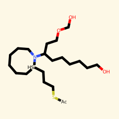 CC(=O)SCCC[SiH]1CCCCCCN1C(CCCCCCO)CCOCO